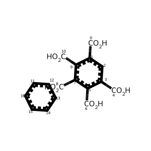 O=C(O)c1cc(C(=O)O)c(C(=O)O)c(C(=O)O)c1C(=O)O.c1ccccc1